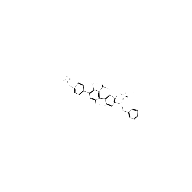 COc1cc(-c2ccc(OS(C)(=O)=O)cc2)c(OC)c(C(N)=O)c1-c1ccc(OCc2ccccc2)c(OS(C)(=O)=O)c1